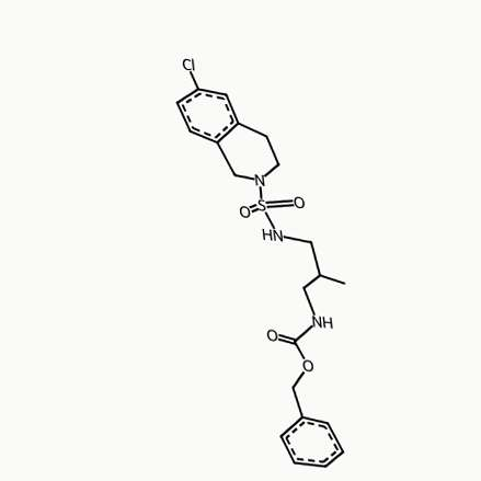 CC(CNC(=O)OCc1ccccc1)CNS(=O)(=O)N1CCc2cc(Cl)ccc2C1